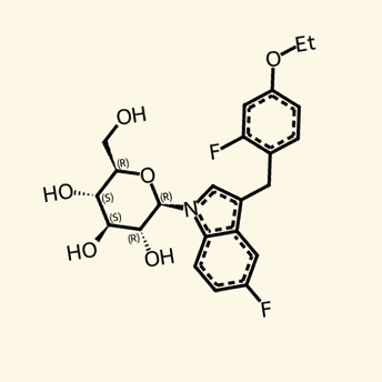 CCOc1ccc(Cc2cn([C@@H]3O[C@H](CO)[C@@H](O)[C@H](O)[C@H]3O)c3ccc(F)cc23)c(F)c1